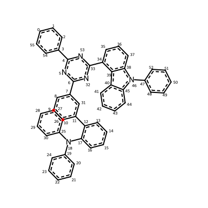 c1ccc(-c2nc(-c3cccc(-c4ccccc4N(c4ccccc4)c4ccccc4)c3)nc(-c3cccc4c3c3ccccc3n4-c3ccccc3)n2)cc1